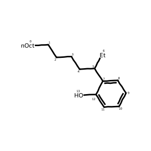 CCCCCCCCCCCCC(CC)c1ccccc1O